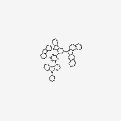 c1ccc(-n2c3ccccc3c3c(-c4nc(-c5cc(-n6c7cc8ccccc8cc7c7c8ccccc8ccc76)cc6c5oc5ccccc56)nc(-c5cccc6oc7ccccc7c56)n4)cccc32)cc1